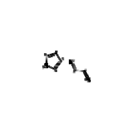 S=CC=Nc1ccsc1